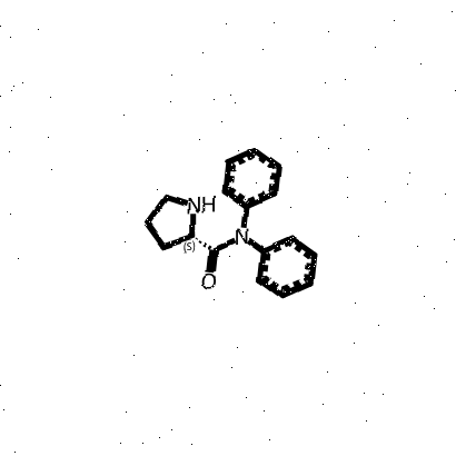 O=C([C@@H]1CCCN1)N(c1ccccc1)c1ccccc1